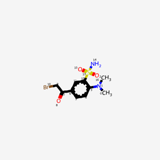 CN(C)c1ccc(C(=O)CBr)cc1S(N)(=O)=O